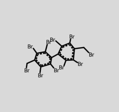 BrCc1c(Br)c(Br)c(-c2c(Br)c(Br)c(CBr)c(Br)c2Br)c(Br)c1Br